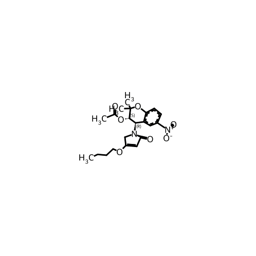 CCCCOC1=CC(=O)N([C@@H]2c3cc([N+](=O)[O-])ccc3OC(C)(C)[C@H]2OC(C)=O)C1